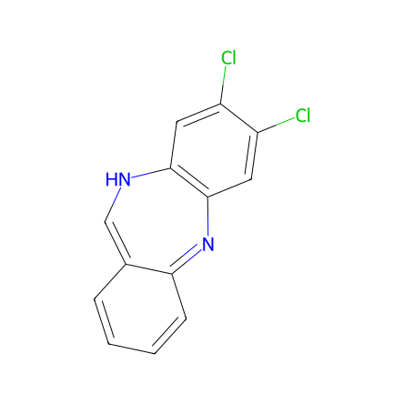 Clc1cc2c(cc1Cl)NC=c1ccccc1=N2